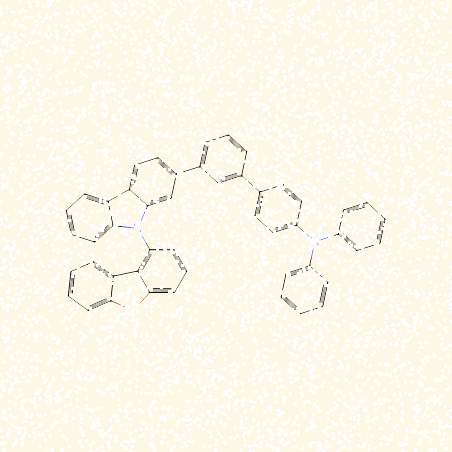 c1ccc(N(c2ccccc2)c2ccc(-c3cccc(-c4ccc5c6ccccc6n(-c6cccc7oc8ccccc8c67)c5c4)c3)cc2)cc1